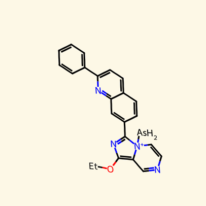 CCOC1=C2C=NC=C[N+]2([AsH2])C(c2ccc3ccc(-c4ccccc4)nc3c2)=N1